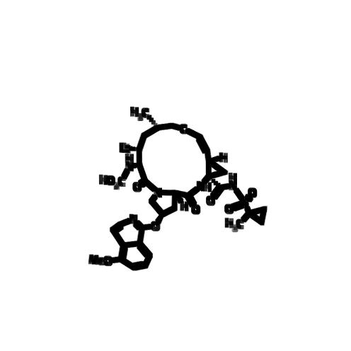 CC[C@@H]1C[C@H](C)CCC=C[C@@H]2C[C@@]2(C(=O)NS(=O)(=O)C2(C)CC2)NC(=O)[C@@H]2C[C@@H](Oc3nccc4c(OC)cccc34)CN2C(=O)[C@H]1NC(=O)O